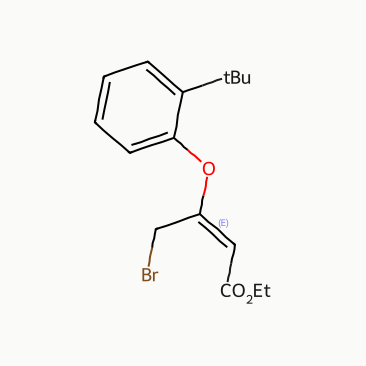 CCOC(=O)/C=C(\CBr)Oc1ccccc1C(C)(C)C